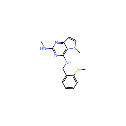 CNc1nc(NCc2ccccc2SC)c2c(ccn2C)n1